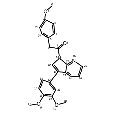 COc1ccc(CC(=O)n2cc(-c3ccc(OC)c(OC)c3)c3cccnc32)cc1